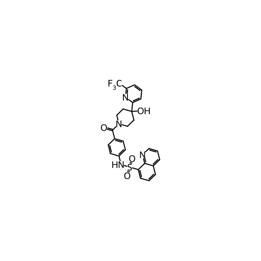 O=C(c1ccc(NS(=O)(=O)c2cccc3cccnc23)cc1)N1CCC(O)(c2cccc(C(F)(F)F)n2)CC1